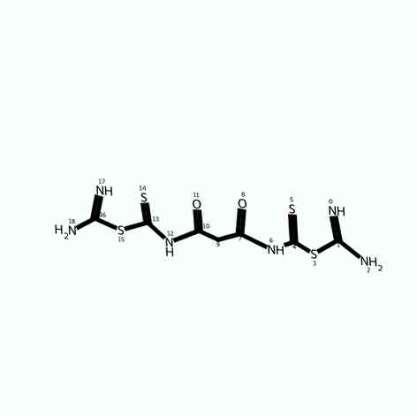 N=C(N)SC(=S)NC(=O)CC(=O)NC(=S)SC(=N)N